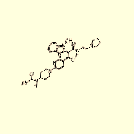 CC(C)C(=O)NC1CCN(c2ccc3c(=O)c(C(=O)NCCN4CCCC4)c4n(C)c5ccccc5n4c3n2)CC1